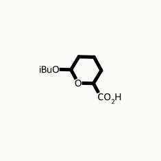 CC(C)COC1CCCC(C(=O)O)O1